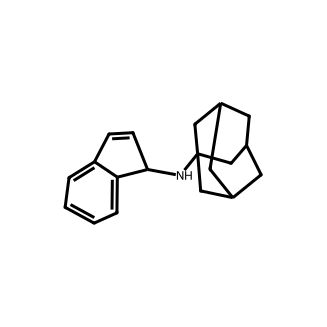 C1=CC(NC23CC4CC(CC(C4)C2)C3)c2ccccc21